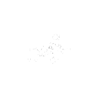 CCCCS(=O)(=O)CC(NC(=O)c1cccnc1)C(=O)N(Cc1ccccc1)CC(O)C(NCCOC)C(=O)NCC(C)C